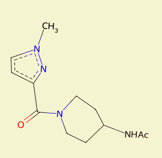 CC(=O)NC1CCN(C(=O)c2ccn(C)n2)CC1